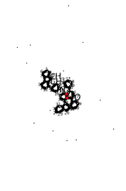 CC1(C)c2ccccc2-c2cccc(-c3ccc(N(c4ccc(-c5cccc6ccccc56)cc4)c4ccccc4-c4ccc5c(c4)oc4ccccc45)cc3)c21